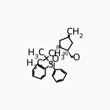 C=C1C[C@@H](CO[Si](c2ccccc2)(c2ccccc2)C(C)(C)C)[C@H](C=O)C1